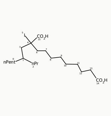 CCCCCC(CCC)CC(I)(CCCCCCCCC(=O)O)C(=O)O